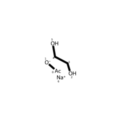 CC(=O)[O-].OCCO.[Na+]